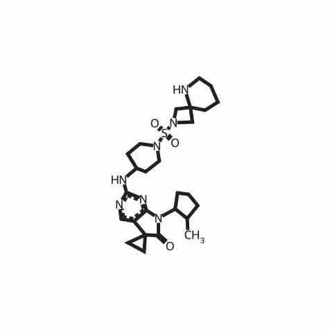 CC1CCCC1N1C(=O)C2(CC2)c2cnc(NC3CCN(S(=O)(=O)N4CC5(CCCCN5)C4)CC3)nc21